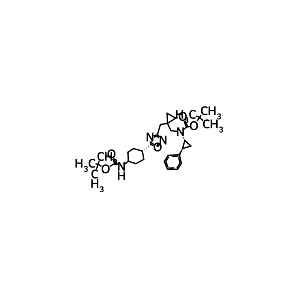 CC(C)(C)OC(=O)N[C@H]1CC[C@H](c2nc(CC3(CN(C(=O)OC(C)(C)C)[C@@H]4C[C@H]4c4ccccc4)CC3)no2)CC1